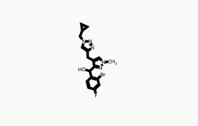 Cn1cc(Cc2cn(CC3CC3)nn2)c(C(O)c2ccc(F)cc2Br)n1